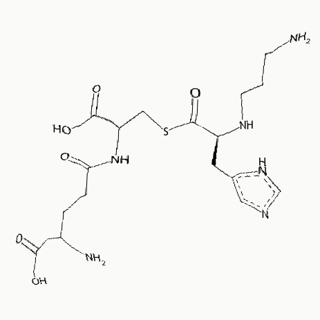 NCCCN[C@@H](Cc1cnc[nH]1)C(=O)SCC(NC(=O)CCC(N)C(=O)O)C(=O)O